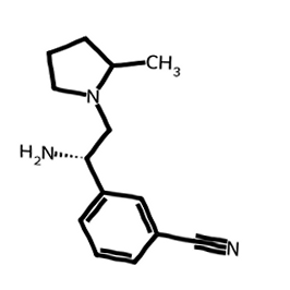 CC1CCCN1C[C@@H](N)c1cccc(C#N)c1